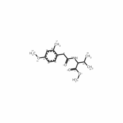 COC(=O)C(NC(=O)Cc1ccc(OC)cc1C)C(C)C